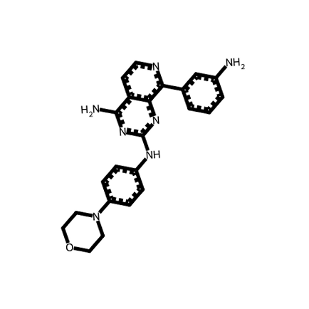 Nc1cccc(-c2nccc3c(N)nc(Nc4ccc(N5CCOCC5)cc4)nc23)c1